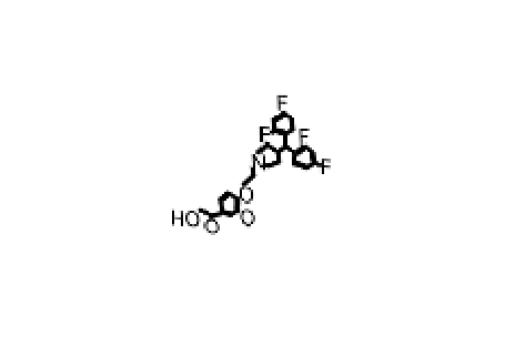 COc1cc(C(=O)CO)ccc1OCCCN1CCC(C(c2ccc(F)cc2F)c2ccc(F)cc2F)CC1